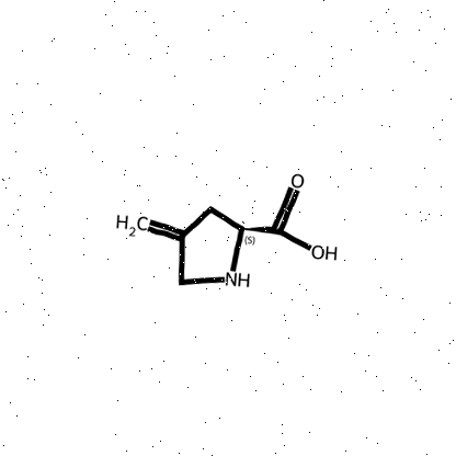 C=C1CN[C@H](C(=O)O)C1